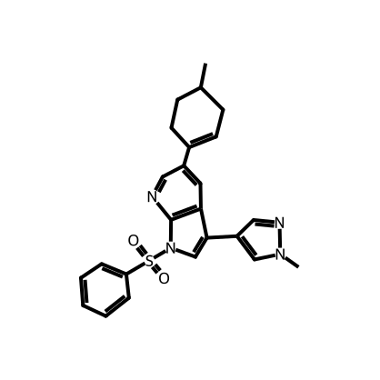 CC1CC=C(c2cnc3c(c2)c(-c2cnn(C)c2)cn3S(=O)(=O)c2ccccc2)CC1